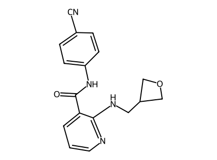 N#Cc1ccc(NC(=O)c2cccnc2NCC2COC2)cc1